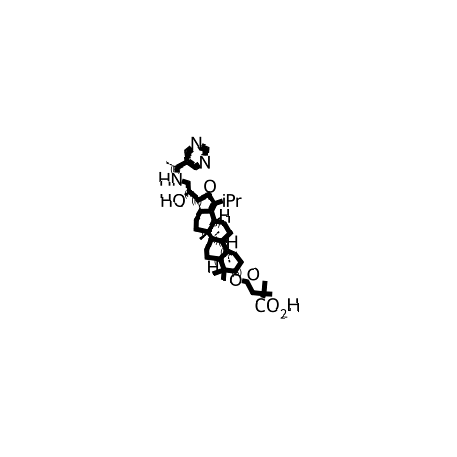 CC(C)C1=C2C(CC[C@]3(C)[C@@H]2CC[C@@H]2[C@@]4(C)CC[C@H](OC(=O)CC(C)(C)C(=O)O)C(C)(C)[C@@H]4CC[C@]23C)[C@H]([C@@H](O)CN[C@H](C)c2cncnc2)C1=O